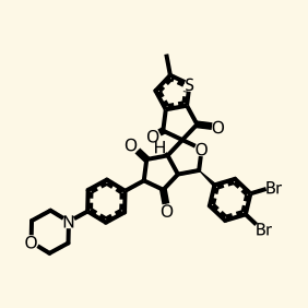 Cc1cc2c(s1)C(=O)C1(O[C@@H](c3ccc(Br)c(Br)c3)C3C(=O)C(c4ccc(N5CCOCC5)cc4)C(=O)[C@H]31)C2=O